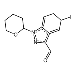 O=Cc1nn(C2CCCCO2)c2c1=CC(I)CC=2